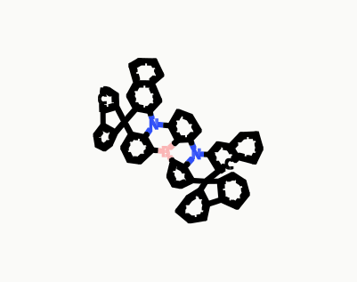 c1ccc2c(c1)-c1ccccc1C21c2cc3ccccc3cc2N2c3cccc4c3B(c3cccc1c32)c1cccc2c1N4c1cc3ccccc3cc1C21c2ccccc2-c2ccccc21